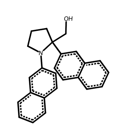 OCC1(c2ccc3ccccc3c2)CCCN1c1ccc2ccccc2c1